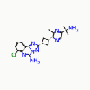 Cc1nc(C(C)(C)N)cnc1[C@H]1C[C@@H](c2nc3c4cccc(Cl)c4nc(N)n3n2)C1